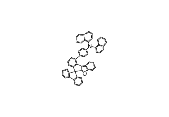 c1ccc2c(c1)-c1ccccc1C21c2cccc(-c3ccc(N(c4cccc5ccccc45)c4cccc5ccccc45)cc3)c2-c2c1oc1ccccc21